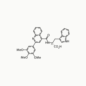 COc1cc(-c2cc(C(=O)N[C@H](Cc3c[nH]c4ccccc34)C(=O)O)c3ccccc3n2)cc(OC)c1OC